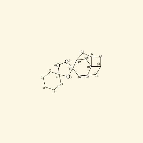 C1CCC2(CC1)OOC1(O2)C2CC3CC4CC1CC34C2